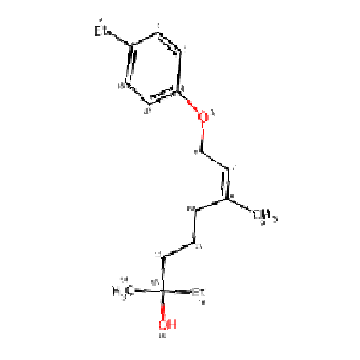 CCc1ccc(OCC=C(C)CCCC(C)(O)CC)cc1